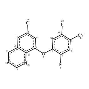 N#Cc1cc(F)c(Oc2cc(Cl)cc3cccnc23)cc1F